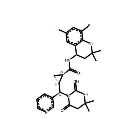 CC1(C)CC(=O)N([C@@H](c2cccnc2)[C@@H]2C[C@H]2C(=O)NC2CC(C)(C)Oc3c(F)cc(F)cc32)C(=N)N1